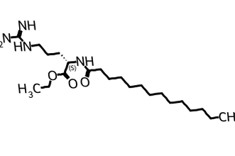 CCCCCCCCCCCCCC(=O)N[C@@H](CCCNC(=N)N)C(=O)OCC